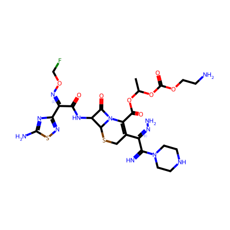 CC(OC(=O)OCCN)OC(=O)C1=C(/C(=N\N)C(=N)N2CCNCC2)CSC2C(NC(=O)/C(=N\OCF)c3nsc(N)n3)C(=O)N12